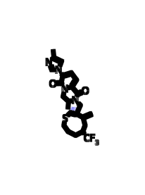 C=C1CC(C(F)(F)F)CCCS/C=C\1CN1C(=O)c2ccc(-n3cnc(C)c3)c(=O)n2CC1C